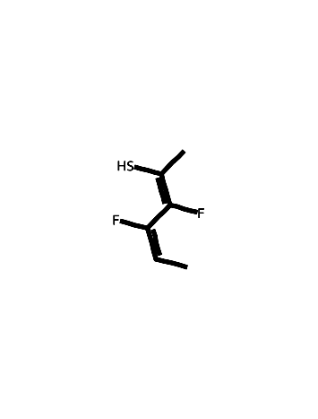 C/C=C(F)\C(F)=C(\C)S